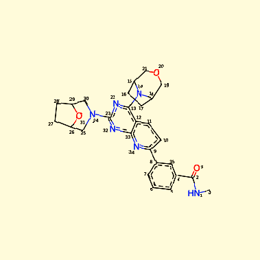 CNC(=O)c1cccc(-c2ccc3c(N4C5CCC4COC5)nc(N4CC5CCC(C4)O5)nc3n2)c1